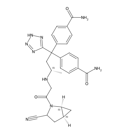 C[C@@H](CC(c1ccc(C(N)=O)cc1)(c1ccc(C(N)=O)cc1)c1nn[nH]n1)NCC(=O)N1C(C#N)C[C@@H]2C[C@@H]21